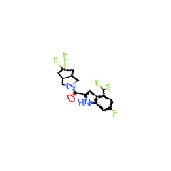 O=C(c1cc2c(C(F)F)cc(F)cc2[nH]1)N1CC2CC(F)(F)CC2C1